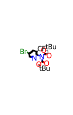 CC(C)(C)OC(=O)N(C(=O)OC(C)(C)C)c1ncc(Br)cc1C(F)(F)F